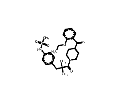 CCOc1ccccc1C(=O)C1CCN(C(=O)C(C)(C)Cc2ccc(NS(C)(=O)=O)cc2)CC1